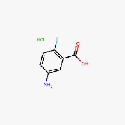 Cl.Nc1ccc(F)c(C(=O)O)c1